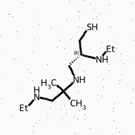 CCNCC(C)(C)NC[C@H](CS)NCC